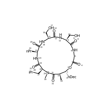 CCCCCCCCCC[C@H]1OC(=O)CNC(=O)[C@H](CO)NC(=O)[C@H](CO)NC(=O)[C@H](CCC)NC(=O)[C@H](CC(C)C)N(C)C(=O)[C@@H]1C